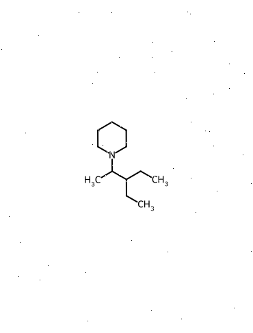 CCC(CC)C(C)N1CCCCC1